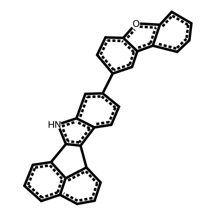 c1cc2c3c(cccc3c1)-c1c-2[nH]c2cc(-c3ccc4oc5ccccc5c4c3)ccc12